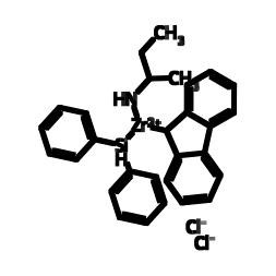 CCC(C)[NH][Zr+2]([CH]1c2ccccc2-c2ccccc21)[SiH](c1ccccc1)c1ccccc1.[Cl-].[Cl-]